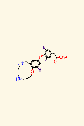 O=C(O)Cc1cc(I)c(Oc2cc(I)c3c(c2)CNCCCNCCCO3)c(I)c1